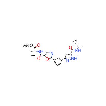 COC(=O)C1(NC(=O)c2cnc(-c3cccc(-c4cc(C(=O)NC(C)C5CC5)[nH]n4)c3)o2)CCC1